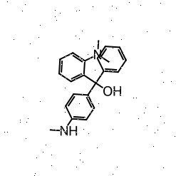 CNc1ccc(C(O)(c2ccccc2)c2ccccc2N(C)C)cc1